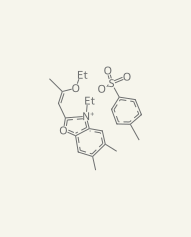 CCOC(C)=Cc1oc2cc(C)c(C)cc2[n+]1CC.Cc1ccc(S(=O)(=O)[O-])cc1